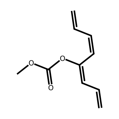 C=C/C=C\C(=C/C=C)OC(=O)OC